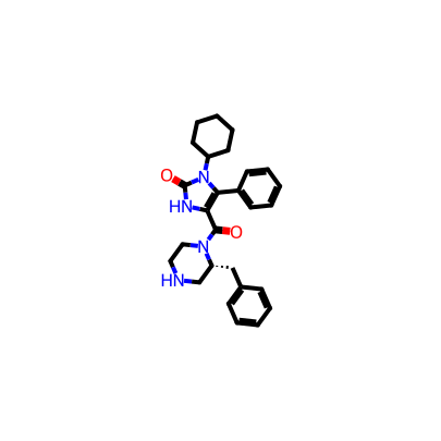 O=C(c1[nH]c(=O)n(C2CCCCC2)c1-c1ccccc1)N1CCNC[C@H]1Cc1ccccc1